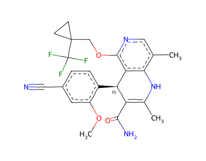 COc1cc(C#N)ccc1[C@@H]1C(C(N)=O)=C(C)Nc2c(C)cnc(OCC3(C(F)(F)F)CC3)c21